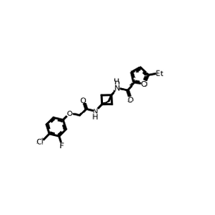 CCc1ccc(C(=O)NC23CC(NC(=O)COc4ccc(Cl)c(F)c4)(C2)C3)o1